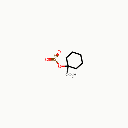 O=C(O)C1(O[SH](=O)=O)CCCCC1